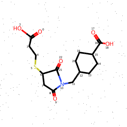 O=C(O)CCSC1CC(=O)N(CC2CCC(C(=O)O)CC2)C1=O